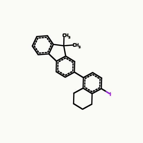 CC1(C)c2ccccc2-c2ccc(-c3ccc(I)c4c3CCCC4)cc21